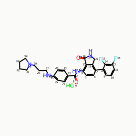 Cl.O=C(Nc1ccc(-c2cccc(F)c2F)c2c1C(=O)NC2)c1ccc(NCCCN2CCCC2)cc1